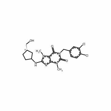 Cn1c(NC2CC[C@H](CO)C2)nc2c1c(=O)n(Cc1ccc(Cl)c(Cl)c1)c(=O)n2C